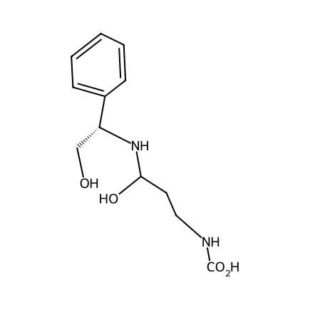 O=C(O)NCCC(O)N[C@H](CO)c1ccccc1